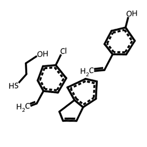 C1=Cc2ccccc2C1.C=Cc1ccc(Cl)cc1.C=Cc1ccc(O)cc1.OCCS